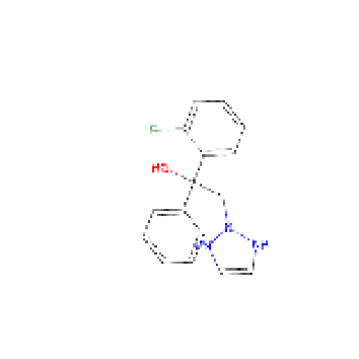 OC(CN1NC=CN1)(c1ccccc1)c1ccccc1F